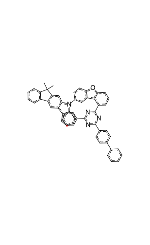 CC1(C)c2ccccc2-c2cc3c4ccccc4n(-c4ccc5oc6cccc(-c7nc(-c8ccccc8)nc(-c8ccc(-c9ccccc9)cc8)n7)c6c5c4)c3cc21